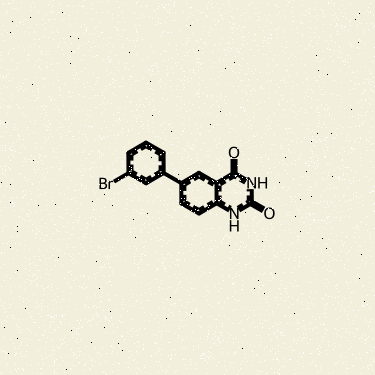 O=c1[nH]c(=O)c2cc(-c3cccc(Br)c3)ccc2[nH]1